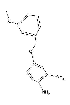 COc1cccc(COc2ccc(N)c(N)c2)c1